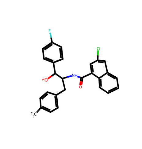 O=C(NC(Cc1ccc(C(F)(F)F)cc1)C(O)c1ccc(F)cc1)c1cc(Cl)cc2ccccc12